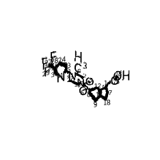 C[C@H]1CN(S(=O)(=O)c2ccc3c(c2)C(COO)CC3)CCN1c1ccc(C(F)(F)F)cn1